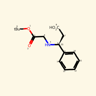 CC(C)(C)OC(=O)CN[C@@H](CC(=O)O)c1ccccc1